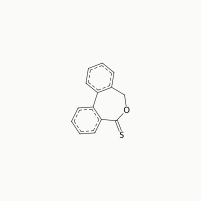 S=C1OCc2ccccc2-c2ccccc21